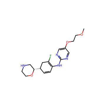 COCCOc1cnc(NC2=C(F)CC([C@H]3CNCCO3)C=C2)nc1